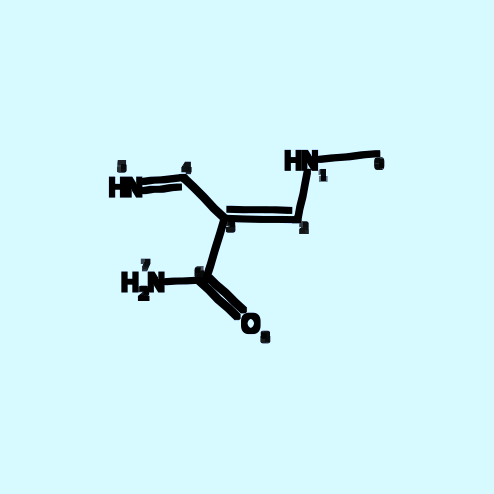 CN/C=C(\C=N)C(N)=O